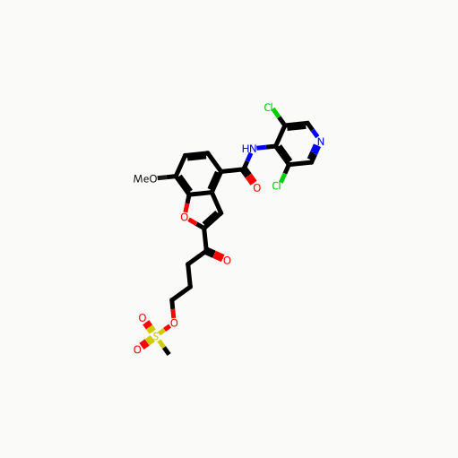 COc1ccc(C(=O)Nc2c(Cl)cncc2Cl)c2cc(C(=O)CCCOS(C)(=O)=O)oc12